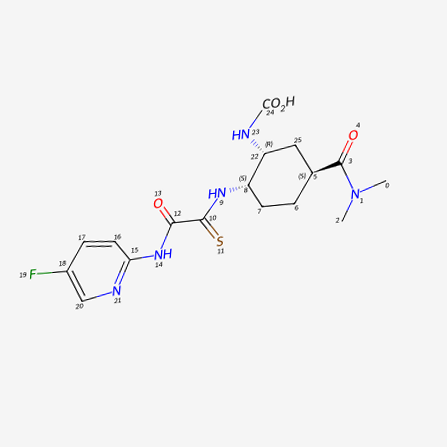 CN(C)C(=O)[C@H]1CC[C@H](NC(=S)C(=O)Nc2ccc(F)cn2)[C@H](NC(=O)O)C1